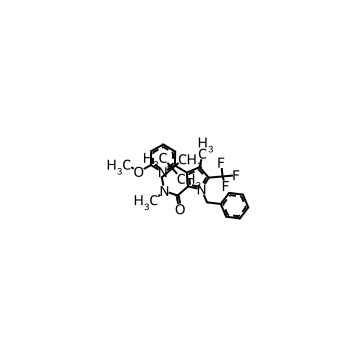 COc1cccc(-c2c(C)c(C(F)(F)F)n(Cc3ccccc3)c2C(=O)N(C)CC(C)(C)C)n1